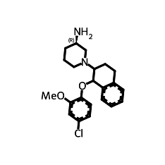 COc1cc(Cl)ccc1OC1c2ccccc2CCC1N1CCC[C@@H](N)C1